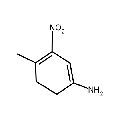 CC1=C([N+](=O)[O-])C=C(N)CC1